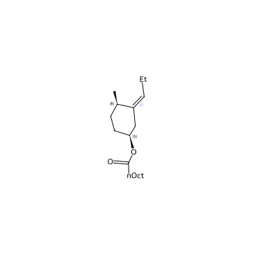 CC/C=C1/C[C@@H](OC(=O)CCCCCCCC)CC[C@H]1C